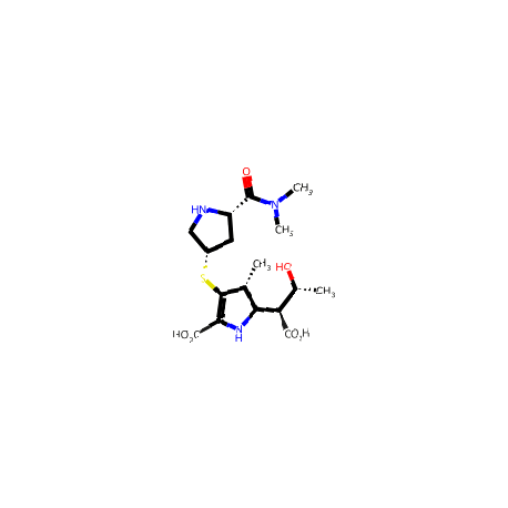 C[C@H]1C(S[C@@H]2CN[C@H](C(=O)N(C)C)C2)=C(C(=O)O)NC1[C@H](C(=O)O)[C@@H](C)O